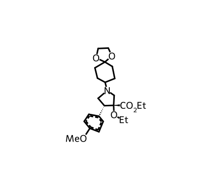 CCOC(=O)[C@]1(OCC)CN(C2CCC3(CC2)OCCO3)C[C@H]1c1ccc(OC)cc1